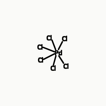 [Cl][Pd]([Cl])([Cl])([Cl])([Cl])[Cl]